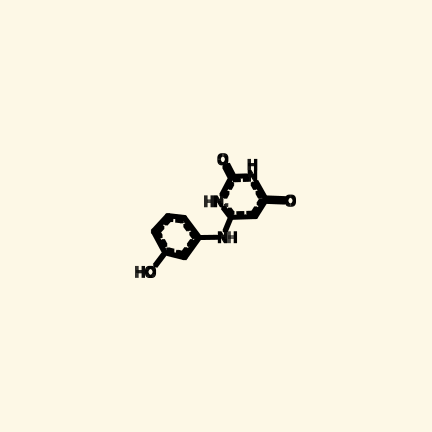 O=c1cc(Nc2cccc(O)c2)[nH]c(=O)[nH]1